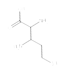 NC(CCS)C(N)C(=O)O